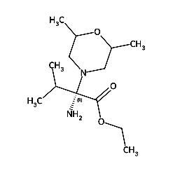 CCOC(=O)[C@@](N)(C(C)C)N1CC(C)OC(C)C1